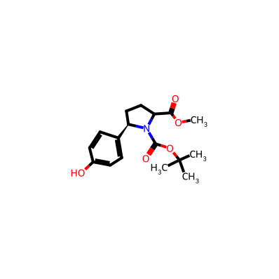 COC(=O)C1CC[C@H](c2ccc(O)cc2)N1C(=O)OC(C)(C)C